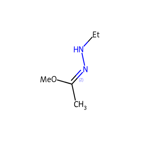 CCN/N=C(/C)OC